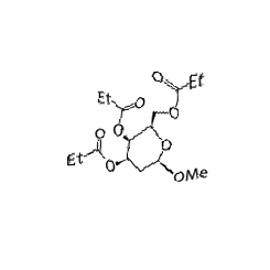 CCC(=O)OC[C@H]1O[C@@H](OC)C[C@@H](OC(=O)CC)[C@H]1OC(=O)CC